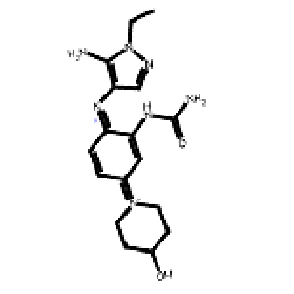 CCn1ncc(/N=C2/C=CC(=[N+]3CCC(O)CC3)C=C2NC(N)=O)c1N